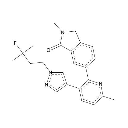 Cc1ccc(-c2cnn(CCC(C)(C)F)c2)c(-c2ccc3c(c2)C(=O)N(C)C3)n1